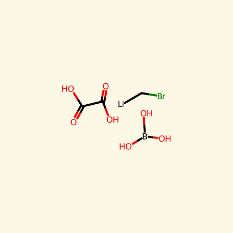 O=C(O)C(=O)O.OB(O)O.[Li][CH2]Br